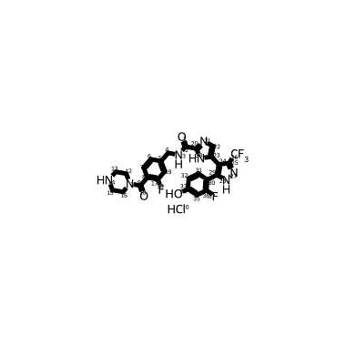 Cl.O=C(NCc1ccc(C(=O)N2CCNCC2)c(F)c1)c1ncc(-c2c(C(F)(F)F)n[nH]c2-c2ccc(O)cc2F)[nH]1